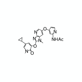 CC(=O)Nc1cc(Oc2cnc3nc(Oc4cc(C5CC5)cn(C)c4=O)n(C)c3c2)ccn1